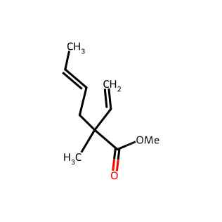 C=CC(C)(CC=CC)C(=O)OC